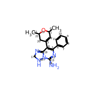 CC1C=C(C2=C(c3ccccc3)N=C(N)N3NCN=C23)CC(C)O1